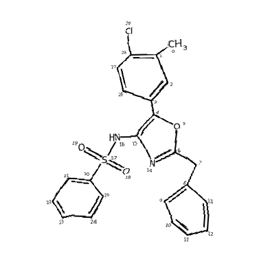 Cc1cc(-c2oc(Cc3ccccc3)nc2NS(=O)(=O)c2ccccc2)ccc1Cl